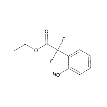 CCOC(=O)C(F)(F)c1ccccc1O